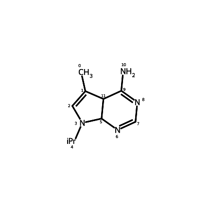 CC1=CN(C(C)C)C2N=CN=C(N)C12